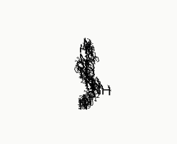 Cc1ccc(NC(=O)c2cccc(N3CCN(C)CC3)c2)cc1N1CCc2nc(Nc3ccc(N4CCN(C)CC4)cc3)ncc2C1=O